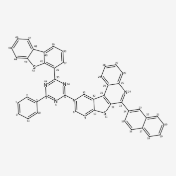 c1ccc(-c2nc(-c3ccc4sc5c(-c6ccc7ccccc7c6)nc6ccccc6c5c4c3)nc(-c3cccc4c3sc3ccccc34)n2)cc1